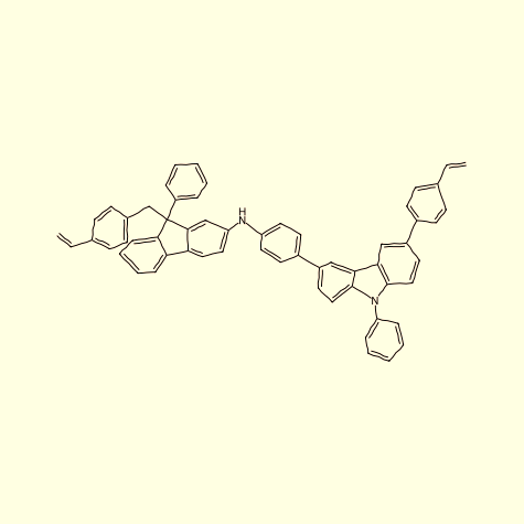 C=Cc1ccc(CC2(c3ccccc3)c3ccccc3-c3ccc(Nc4ccc(-c5ccc6c(c5)c5cc(-c7ccc(C=C)cc7)ccc5n6-c5ccccc5)cc4)cc32)cc1